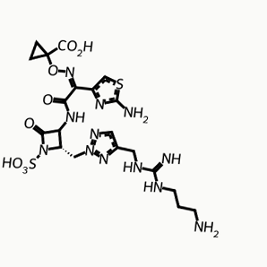 N=C(NCCCN)NCc1cnn(C[C@H]2C(NC(=O)/C(=N\OC3(C(=O)O)CC3)c3csc(N)n3)C(=O)N2S(=O)(=O)O)n1